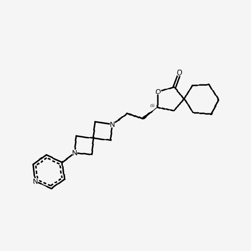 O=C1O[C@H](CCN2CC3(C2)CN(c2ccncc2)C3)CC12CCCCC2